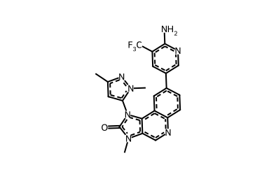 Cc1cc(-n2c(=O)n(C)c3cnc4ccc(-c5cnc(N)c(C(F)(F)F)c5)cc4c32)n(C)n1